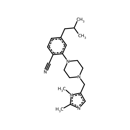 Cc1ncc(CN2CCN(c3cc(CC(C)C)ccc3C#N)CC2)n1C